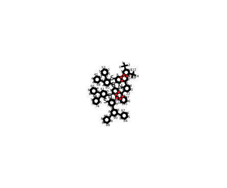 CC(C)(C)c1cc(-c2cc3c4c(c2)N(c2c(-c5ccccc5)cccc2-c2ccccc2)c2cc5c(cc2B4c2ccc(-c4ccccc4)c(-c4ccccc4)c2S3)B2c3ccc(-c4ccccc4)c(-c4ccccc4)c3Sc3cc(-c4cc(-c6ccccc6)cc(-c6ccccc6)c4)cc(c32)N5c2ccccc2)cc(C(C)(C)C)c1